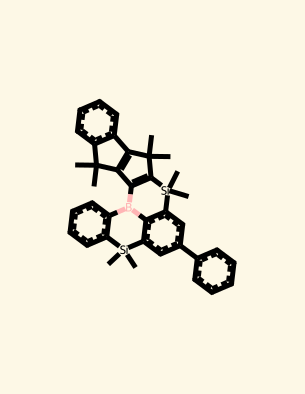 CC1(C)C2=C(C3=C1[Si](C)(C)c1cc(-c4ccccc4)cc4c1B3c1ccccc1[Si]4(C)C)C(C)(C)c1ccccc12